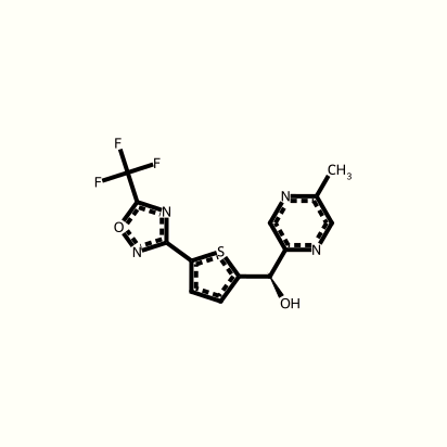 Cc1cnc([C@@H](O)c2ccc(-c3noc(C(F)(F)F)n3)s2)cn1